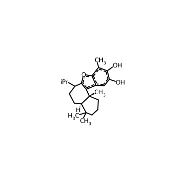 Cc1c(O)c(O)cc2c3c(oc12)C(C(C)C)CC[C@@H]1C(C)(C)CCC[C@@]31C